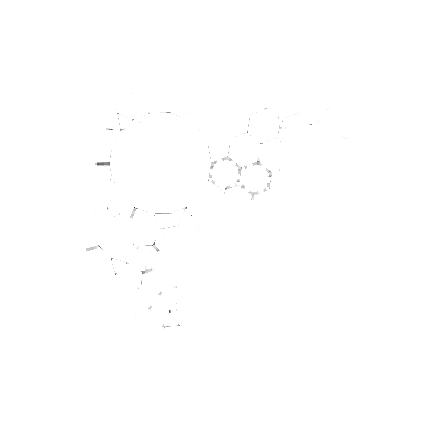 C=C[C@@H]1C[C@]1(NC(=O)[C@@H]1C[C@@H]2CN1C(=O)[C@H](C(C)(C)C)NC(=O)O[C@@H]1C[C@H]1CCCCCc1c(nc3ccccc3c1OC1CCN(CCOC)CC1)O2)C(=O)NS(=O)(=O)C1(C)CC1